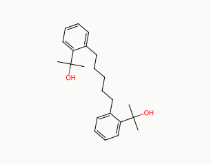 CC(C)(O)c1ccccc1CCCCCc1ccccc1C(C)(C)O